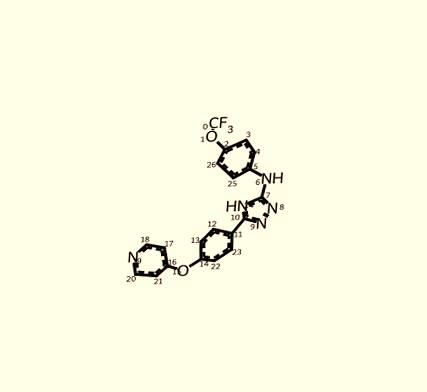 FC(F)(F)Oc1ccc(Nc2nnc(-c3ccc(Oc4ccncc4)cc3)[nH]2)cc1